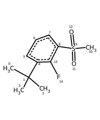 CC(C)(C)c1cccc(S(C)(=O)=O)c1F